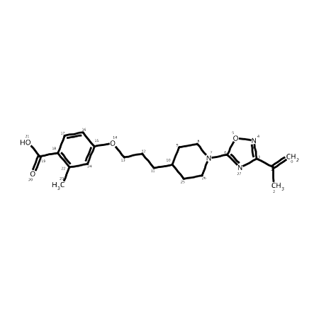 C=C(C)c1noc(N2CCC(CCCOc3ccc(C(=O)O)c(C)c3)CC2)n1